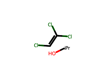 CC(C)O.ClC=C(Cl)Cl